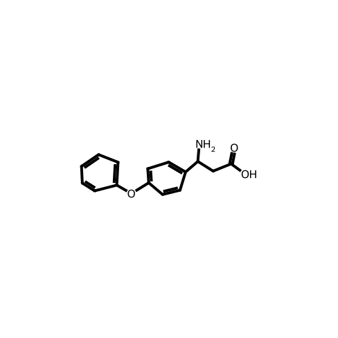 NC(CC(=O)O)c1ccc(Oc2ccccc2)cc1